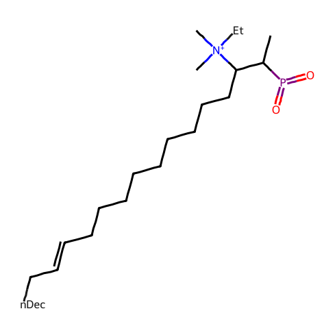 CCCCCCCCCCCC=CCCCCCCCCCC(C(C)P(=O)=O)[N+](C)(C)CC